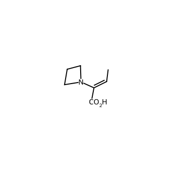 C/C=C(/C(=O)O)N1CCC1